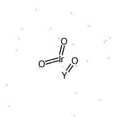 [O]=[Ir]=[O].[O]=[Y]